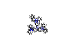 c1ccc(N(c2ccc(-n3c4cc(N(c5ccccc5)c5ccccc5)ccc4c4ccc(N(c5ccccc5)c5ccccc5)cc43)cc2)c2ccc3ccccc3c2)cc1